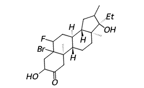 CC[C@@]1(O)C(C)C[C@H]2[C@@H]3CC(F)C4(Br)CC(O)C(=O)C[C@]4(C)[C@H]3CC[C@@]21C